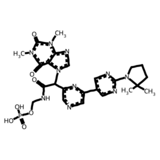 Cn1c(=O)c2c(ncn2C(C(=O)NCOP(=O)(O)O)c2cncc(-c3cnc(N4CCCC4(C)C)nc3)n2)n(C)c1=O